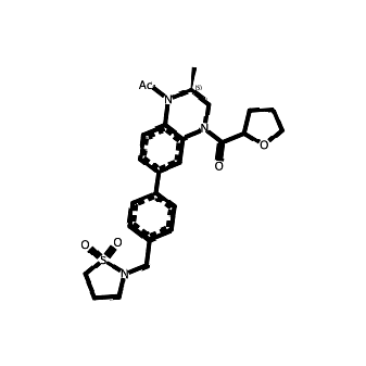 CC(=O)N1c2ccc(-c3ccc(CN4CCCS4(=O)=O)cc3)cc2N(C(=O)C2CCCO2)C[C@@H]1C